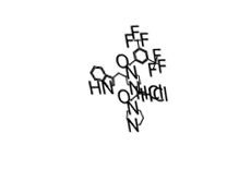 CN1CCCN(C(=O)CN2CCN(C(=O)c3cc(C(F)(F)F)cc(C(F)(F)F)c3)C(Cc3c[nH]c4ccccc34)C2)CC1.Cl.Cl